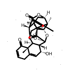 C[C@]12C(=O)C=CCC1=C[C@@H](O)[C@@H]1[C@@H]2CC[C@]2(O)C(=O)O[C@@]3(C)[C@H]4C[C@]5(C)[C@H](CO[C@]16O[C@@]32[C@H]5C6=O)C(=O)O4